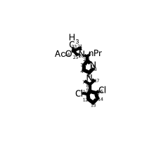 CCCC(c1ccc(N2CC(c3c(Cl)cccc3Cl)C2)cn1)N1CC(C)(OC(C)=O)C1